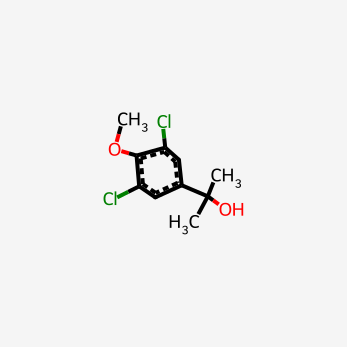 COc1c(Cl)cc(C(C)(C)O)cc1Cl